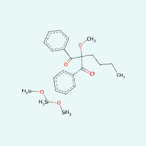 CCCCC(OC)(C(=O)c1ccccc1)C(=O)c1ccccc1.[SiH3]O[SiH2]O[SiH3]